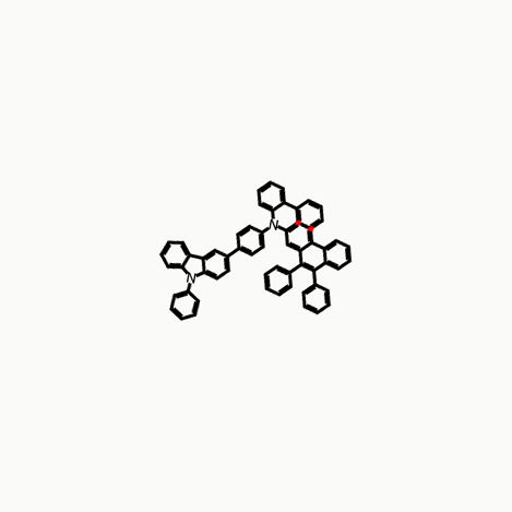 c1ccc(-c2ccccc2N(c2ccc(-c3ccc4c(c3)c3ccccc3n4-c3ccccc3)cc2)c2ccc3c(c2)c(-c2ccccc2)c(-c2ccccc2)c2ccccc23)cc1